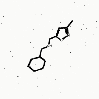 Cc1cc(CNCC2CCCCC2)on1